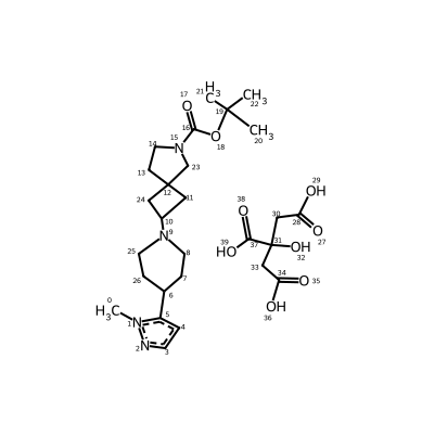 Cn1nccc1C1CCN(C2CC3(CCN(C(=O)OC(C)(C)C)C3)C2)CC1.O=C(O)CC(O)(CC(=O)O)C(=O)O